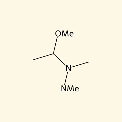 CNN(C)C(C)OC